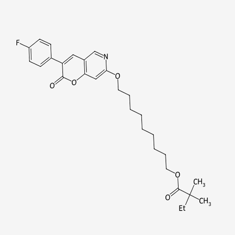 CCC(C)(C)C(=O)OCCCCCCCCCOc1cc2oc(=O)c(-c3ccc(F)cc3)cc2cn1